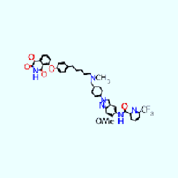 COc1cc2nn([C@H]3CC[C@H](CN(C)CCCCCc4ccc(Oc5cccc6c5C(=O)NC(=O)C6=O)cc4)CC3)cc2cc1NC(=O)c1cccc(C(F)(F)F)n1